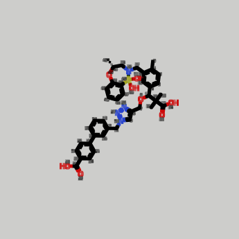 Cc1ccc(C(OCc2cn(Cc3cccc(-c4ccc(C(=O)O)cc4)c3)nn2)C(C)(C)C(=O)O)cc1CN1C[C@@H](C)Oc2ccccc2S1(O)O